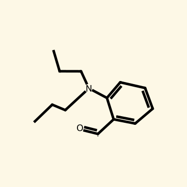 CCCN(CCC)c1ccccc1[C]=O